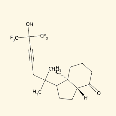 CC(C)(CC#CC(O)(C(F)(F)F)C(F)(F)F)C1CC[C@H]2C(=O)CCC[C@]12C